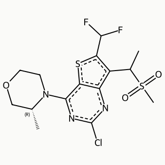 CC(c1c(C(F)F)sc2c(N3CCOC[C@H]3C)nc(Cl)nc12)S(C)(=O)=O